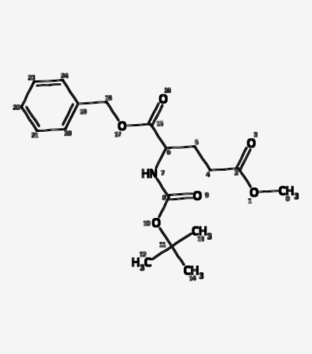 COC(=O)CCC(NC(=O)OC(C)(C)C)C(=O)OCc1ccccc1